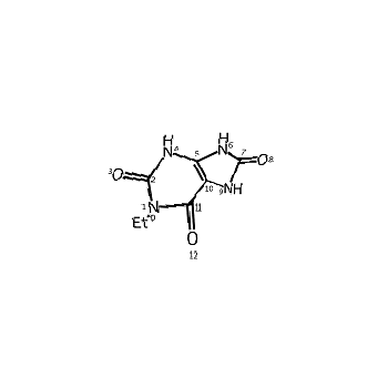 CCn1c(=O)[nH]c2[nH]c(=O)[nH]c2c1=O